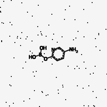 Nc1ccc(OB(O)O)nc1